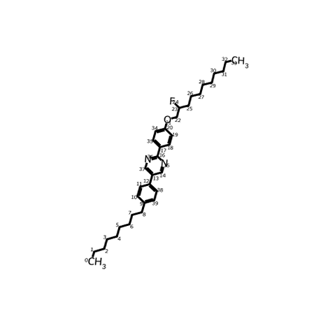 CCCCCCCCCc1ccc(-c2cnc(-c3ccc(OCC(F)CCCCCCCCC)cc3)nc2)cc1